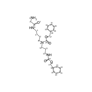 NCC(=O)NCCCCN(CCCNC(=O)OCc1ccccc1)C(=O)OCc1ccccc1